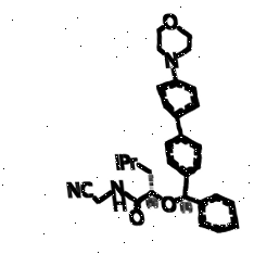 CC(C)C[C@H](O[C@H](c1ccccc1)c1ccc(-c2ccc(N3CCOCC3)cc2)cc1)C(=O)NCC#N